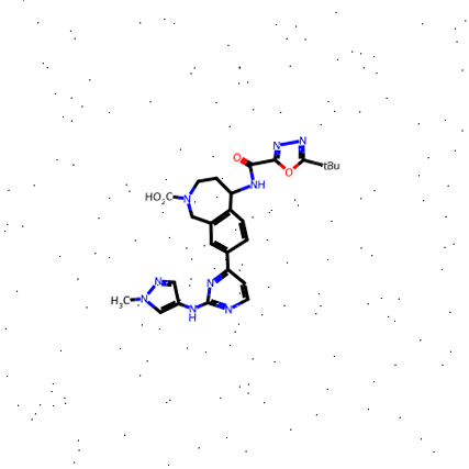 Cn1cc(Nc2nccc(-c3ccc4c(c3)CN(C(=O)O)CCC4NC(=O)c3nnc(C(C)(C)C)o3)n2)cn1